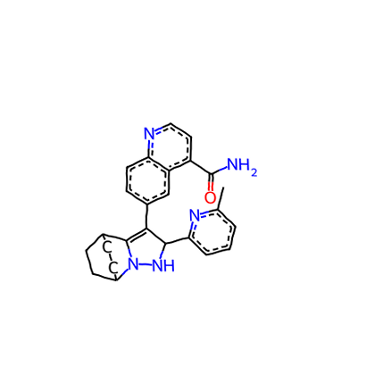 Cc1cccc(C2NN3C(=C2c2ccc4nccc(C(N)=O)c4c2)C2CCC3CC2)n1